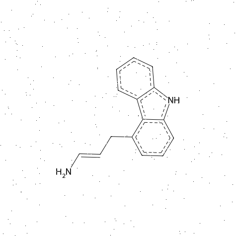 NC=CCc1cccc2[nH]c3ccccc3c12